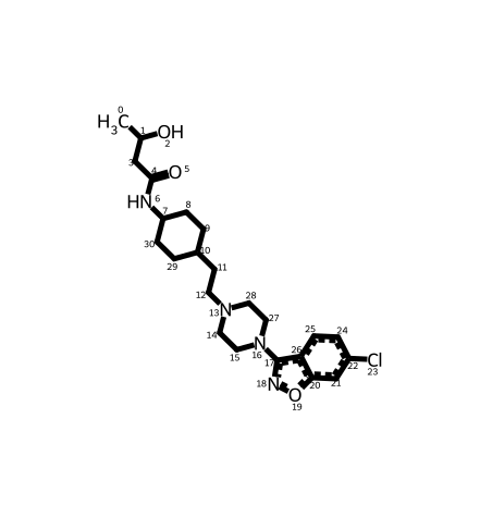 CC(O)CC(=O)NC1CCC(CCN2CCN(c3noc4cc(Cl)ccc34)CC2)CC1